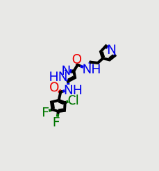 O=C(NCCc1ccncc1)c1cc(NC(=O)c2cc(F)c(F)cc2Cl)[nH]n1